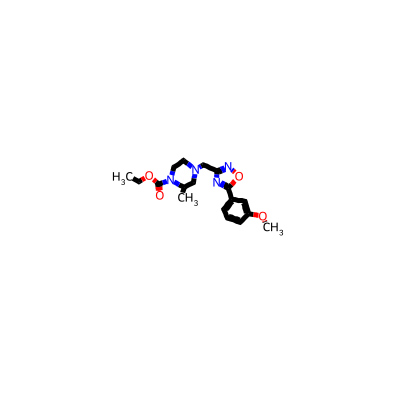 CCOC(=O)N1CCN(Cc2noc(-c3cccc(OC)c3)n2)CC1C